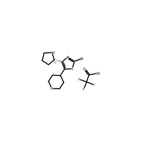 Brc1nc([C@@H]2CCCN2)c(C2CCOCC2)s1.O=C(O)C(F)(F)F